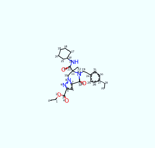 CCOC(=O)c1cc2n(n1)CC(C)(C(=O)NC1CCCCC1)N(Cc1ccc(CC)cc1)C2=O